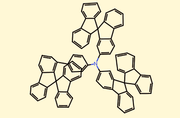 c1ccc2c(c1)-c1ccccc1C21c2ccccc2-c2ccc(N(c3ccc(-c4cccc5c4C4(c6ccccc6-c6ccccc64)c4ccccc4-5)cc3)c3ccc4c(c3)C3(c5ccccc5-c5ccccc53)c3ccccc3-4)cc21